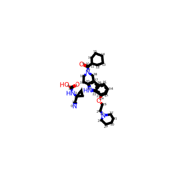 N#CC1(NC(=O)O)CC1.O=C(C1CCCCC1)N1CCc2[nH]c3c(OCCN4CCCCC4)cccc3c2C1